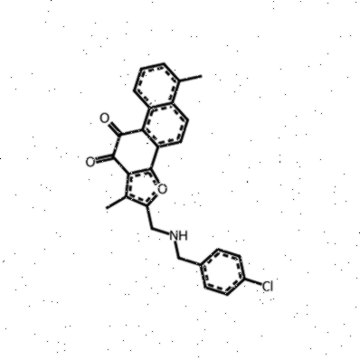 Cc1c(CNCc2ccc(Cl)cc2)oc2c1C(=O)C(=O)c1c-2ccc2c(C)cccc12